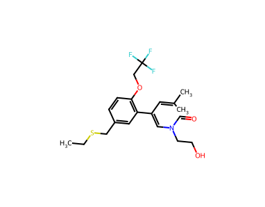 CCSCc1ccc(OCC(F)(F)F)c(/C(C=C(C)C)=C/N(C=O)CCO)c1